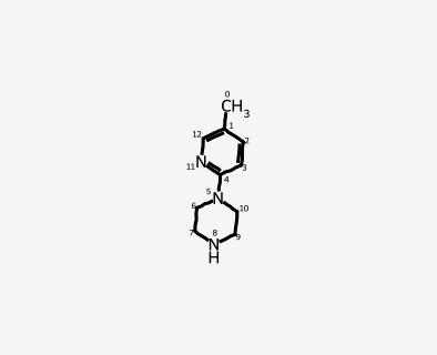 Cc1ccc(N2CCNCC2)nc1